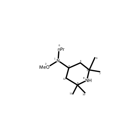 CCCN(OC)C1CC(C)(C)NC(C)(C)C1